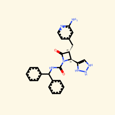 Nc1cc(C[C@H]2C(=O)N(C(=O)NC(c3ccccc3)c3ccccc3)[C@@H]2C2=CNNN2)ccn1